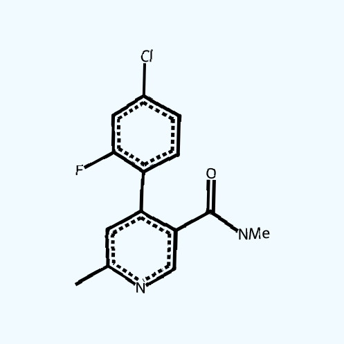 CNC(=O)c1cnc(C)cc1-c1ccc(Cl)cc1F